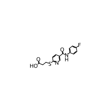 O=C(O)CCSc1ccc(C(=O)Nc2ccc(F)cc2)cn1